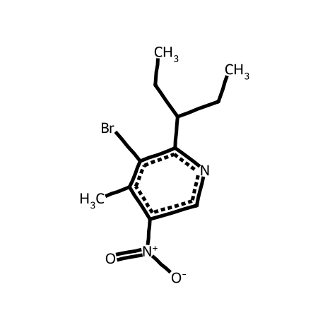 CCC(CC)c1ncc([N+](=O)[O-])c(C)c1Br